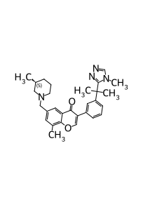 Cc1cc(CN2CCC[C@H](C)C2)cc2c(=O)c(-c3cccc(C(C)(C)c4nncn4C)c3)coc12